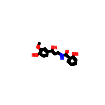 COc1cc(C(O)CCNC(=O)c2ccccc2O)ccc1O